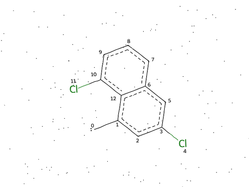 [CH]c1cc(Cl)cc2cccc(Cl)c12